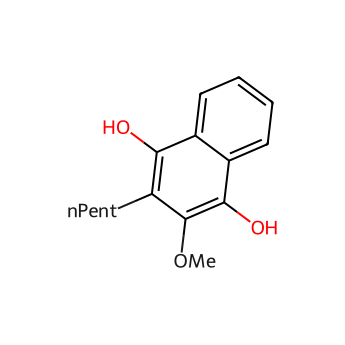 CCCCCc1c(OC)c(O)c2ccccc2c1O